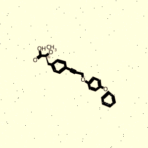 CO[C@@H](Cc1ccc(C#CCOc2ccc(Oc3ccccc3)cc2)cc1)C(=O)O